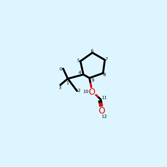 CC(C)(C)C1CCCCC1OC=O